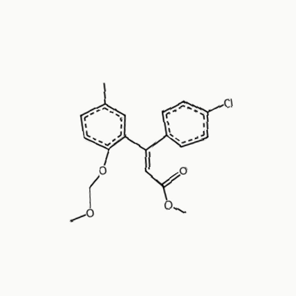 COCOc1ccc(C)cc1C(=CC(=O)OC)c1ccc(Cl)cc1